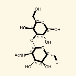 CC(=O)N[C@H]1[C@H](O[C@@H]2[C@@H](O)[C@H](O)O[C@H](CO)[C@@H]2O)O[C@H](CO)[C@@H](O)[C@@H]1O